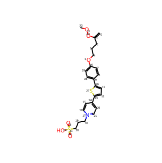 C=C(CCCOc1ccc(-c2ccc(-c3cc[n+](CCCS(=O)(=O)O)cc3)s2)cc1)OOC